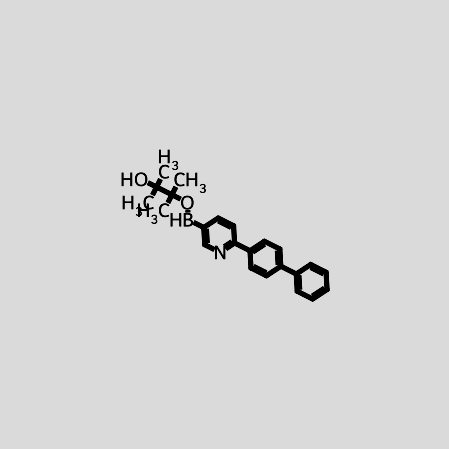 CC(C)(O)C(C)(C)OBc1ccc(-c2ccc(-c3ccccc3)cc2)nc1